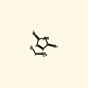 C=CCl.O=C1C=CC(=O)N1